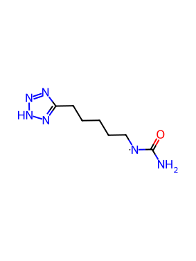 NC(=O)[N]CCCCCc1nn[nH]n1